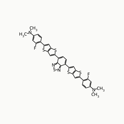 CN(C)c1ccc(-c2cc3sc(-c4ccc(-c5cc6sc(-c7ccc(N(C)C)cc7F)cc6s5)c5nsnc45)cc3s2)c(F)c1